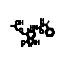 COc1n[nH]c2cc(NC(=O)N[C@H](C)c3ccccc3)nc(COCC(C)O)c12